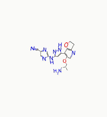 CC(CN)COc1cnc2c(c1-c1cc(Nc3cnc(C#N)cn3)n[nH]1)OCC2